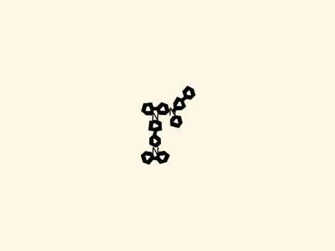 C1=CC(c2ccccc2)CC=C1N(c1ccccc1)c1ccc2c3ccccc3n(-c3ccc(-c4ccc(-n5c6ccccc6c6ccccc65)cc4)cc3)c2c1